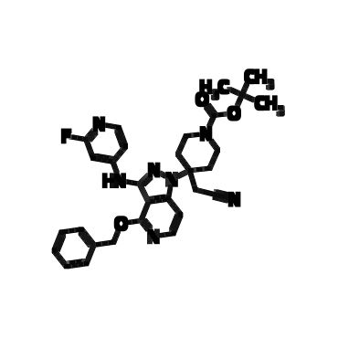 CC(C)(C)OC(=O)N1CCC(CC#N)(n2nc(Nc3ccnc(F)c3)c3c(OCc4ccccc4)nccc32)CC1